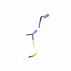 C=C/N=C(\C)SCC